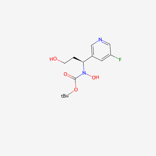 CC(C)(C)OC(=O)N(O)[C@@H](CCO)c1cncc(F)c1